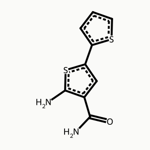 NC(=O)c1cc(-c2cccs2)sc1N